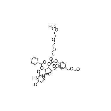 CC[C@H]1O[C@@H](n2ccc(=O)[nH]c2=O)C(OC(=O)c2ccccc2)C1OP(=O)(OCCOCCOCCOC)Oc1ccc(COC=O)cc1